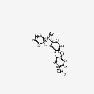 CC(=O)N(c1ccc(Oc2ccc(C)cc2)cc1)N1C=NC=CC1